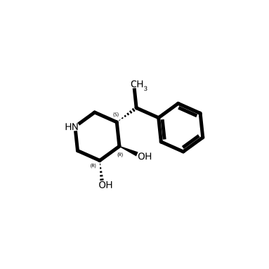 CC(c1ccccc1)[C@H]1CNC[C@@H](O)[C@@H]1O